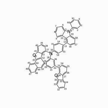 c1ccc(-n2c3ccccc3c3c(-c4ccc(N(c5cccc(-c6cccc7c6oc6ccccc67)c5)c5cccc6oc7c8ccccc8ccc7c56)cc4)cccc32)cc1